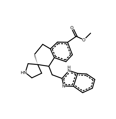 COC(=O)c1ccc2c(c1)CC[C@@]1(CCNC1)C2Cc1nc2ccccc2[nH]1